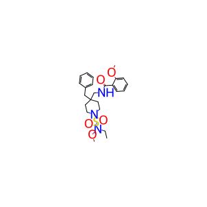 CCN(OC)S(=O)(=O)N1CCC(CNC(=O)c2ccccc2OC)(Cc2ccccc2)CC1